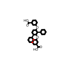 O=C(O)c1cccc(Oc2ccc(-c3ccccc3)c(Oc3cccc(C(=O)O)c3)c2-c2ccccc2)c1